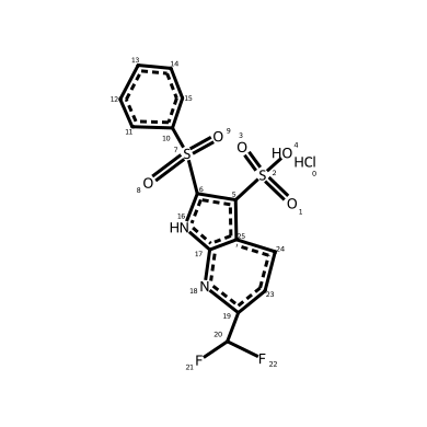 Cl.O=S(=O)(O)c1c(S(=O)(=O)c2ccccc2)[nH]c2nc(C(F)F)ccc12